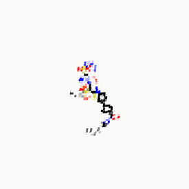 CC1CN(C(=O)c2ccc(-c3ccc4nc(C(C(=O)NCCS(N)(=O)=O)S(C)(=O)=O)sc4c3)cc2)C1